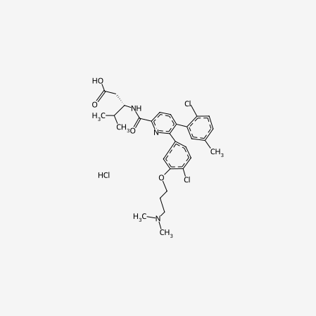 Cc1ccc(Cl)c(-c2ccc(C(=O)N[C@@H](CC(=O)O)C(C)C)nc2-c2ccc(Cl)c(OCCCN(C)C)c2)c1.Cl